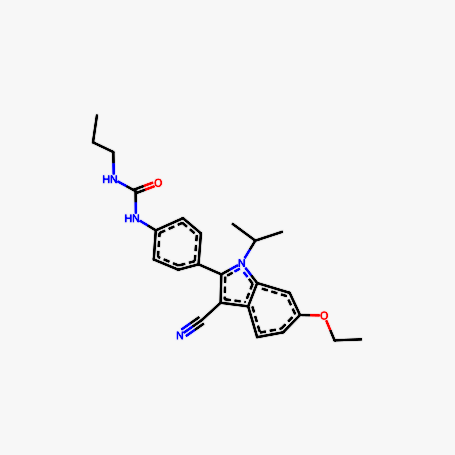 CCCNC(=O)Nc1ccc(-c2c(C#N)c3ccc(OCC)cc3n2C(C)C)cc1